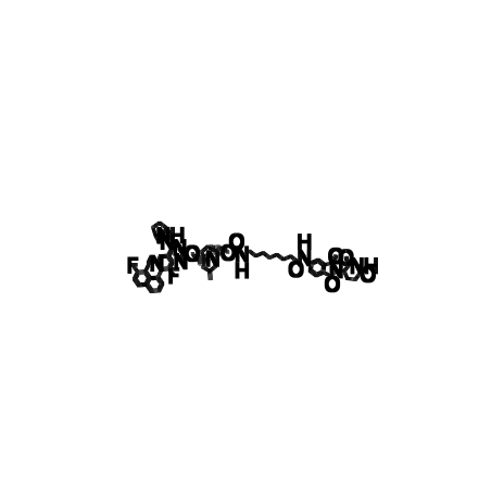 C#Cc1c(F)ccc2cccc(-c3ncc4c(N5CC6CCC(C5)N6)nc(OC[C@@]56CC[C@@H](COC(=O)NCCCCCCCC(=O)Nc7ccc8c(c7)C(=O)N(C7CCC(=O)NC7=O)C8=O)N5CC(=C)C6)nc4c3F)c12